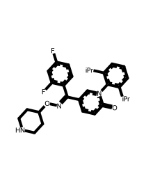 CC(C)c1cccc(C(C)C)c1-n1cc(C(=NOC2CCNCC2)c2ccc(F)cc2F)ccc1=O